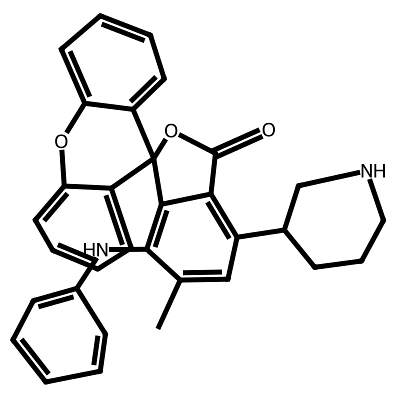 Cc1cc(C2CCCNC2)c2c(c1Nc1ccccc1)C1(OC2=O)c2ccccc2Oc2ccccc21